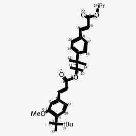 COc1cc(/C=C/C(=O)OC(C)(C)C(C)(C)c2ccc(/C=C/C(=O)OC(C)C)cc2)ccc1C(C)(C)C(C)(C)C